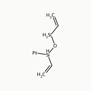 C=C[SiH2]O[SiH]([Pt])C=C